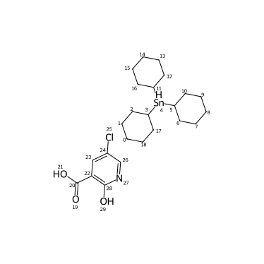 C1CC[CH]([SnH]([CH]2CCCCC2)[CH]2CCCCC2)CC1.O=C(O)c1cc(Cl)cnc1O